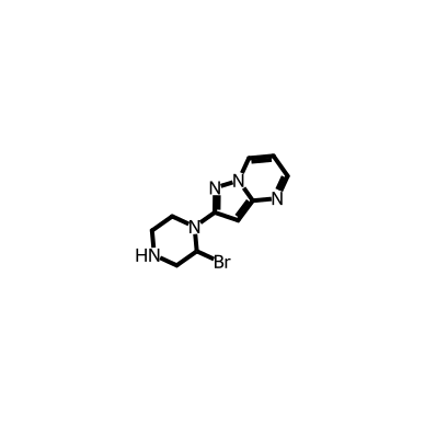 BrC1CNCCN1c1cc2ncccn2n1